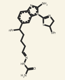 CCCC1CN=C(n2c(N)nc3ccc(C(CCC)CCCC=NNC(N)=O)cc32)S1